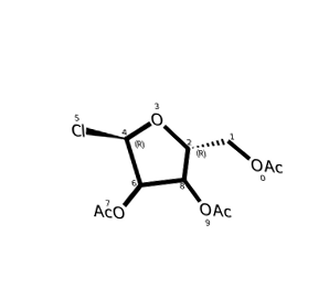 CC(=O)OC[C@H]1O[C@H](Cl)C(OC(C)=O)C1OC(C)=O